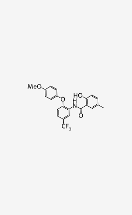 COc1ccc(Oc2ccc(C(F)(F)F)cc2NC(=O)c2cc(C)ccc2O)cc1